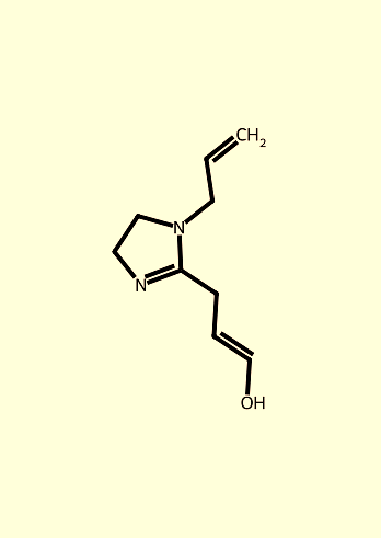 C=CCN1CCN=C1CC=CO